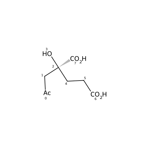 CC(=O)C[C@@](O)(CCC(=O)O)C(=O)O